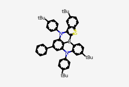 CC(C)(C)c1ccc(N2c3cc(C(C)(C)C)ccc3B3c4sc5ccc(C(C)(C)C)cc5c4N(c4ccc(C(C)(C)C)cc4)c4cc(-c5ccccc5)cc2c43)cc1